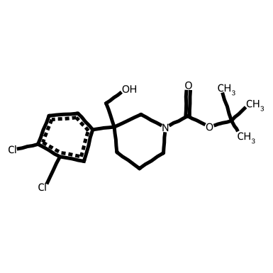 CC(C)(C)OC(=O)N1CCCC(CO)(c2ccc(Cl)c(Cl)c2)C1